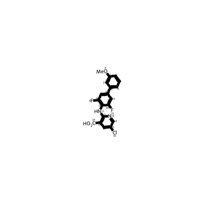 COc1cccc(-c2cc(F)c(Nc3ncc(Cl)cc3C(=O)O)c(F)c2)c1